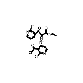 CCOC(=O)C(=[N+]=[N-])C(=O)c1cccnc1Cl.O=C(Cl)c1cccnc1Cl